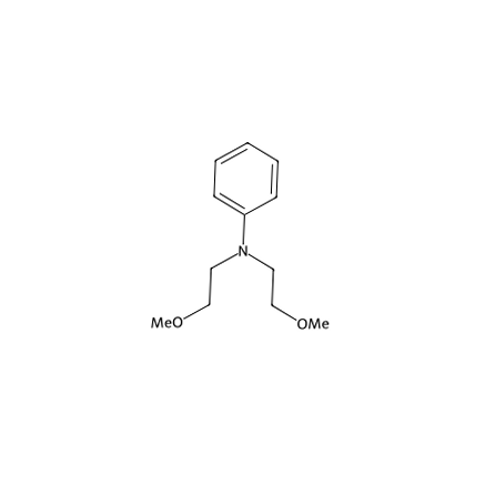 COCCN(CCOC)c1ccccc1